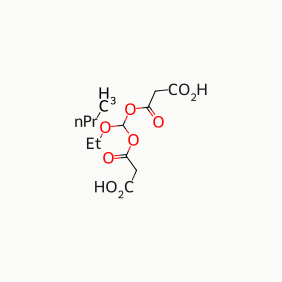 CCCC.CCOC(OC(=O)CC(=O)O)OC(=O)CC(=O)O